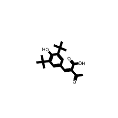 CC(=O)/C(=C/c1cc(C(C)(C)C)c(O)c(C(C)(C)C)c1)C(=O)O